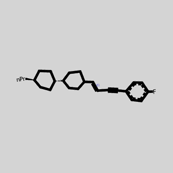 CCC[C@H]1CC[C@H](C2CCC(/C=C/C#Cc3ccc(F)cc3)CC2)CC1